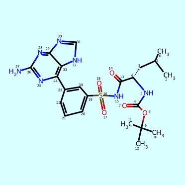 CC(C)C[C@H](NC(=O)OC(C)(C)C)C(=O)NS(=O)(=O)c1cccc(-c2nc(N)nc3nc[nH]c23)c1